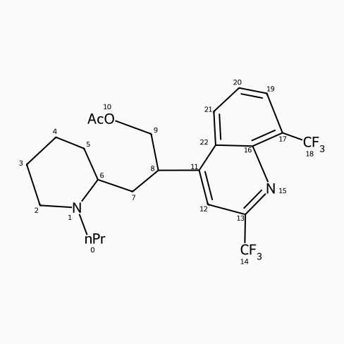 CCCN1CCCCC1CC(COC(C)=O)c1cc(C(F)(F)F)nc2c(C(F)(F)F)cccc12